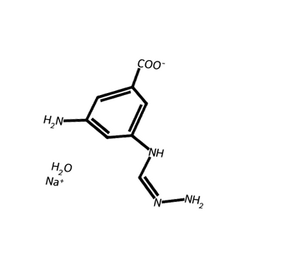 N/N=C\Nc1cc(N)cc(C(=O)[O-])c1.O.[Na+]